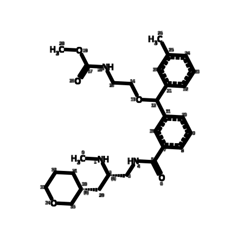 CN[C@H](CNC(=O)c1cccc(C(OCCNC(=O)OC)c2cccc(C)c2)c1)C[C@H]1CCCOC1